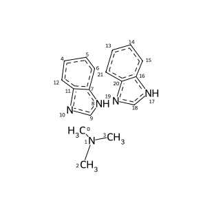 CN(C)C.c1ccc2[nH]cnc2c1.c1ccc2[nH]cnc2c1